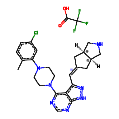 Cc1ccc(Cl)cc1N1CCN(c2ncnc3[nH]nc(/C=C4/C[C@H]5CNC[C@H]5C4)c23)CC1.O=C(O)C(F)(F)F